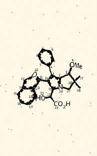 COC1c2c(-c3ccccc3)c(-c3occ4ccccc34)c(C(O)C(=O)O)n2CC1(C)C